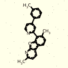 Cc1cccc(-c2ccnc(-c3c(C)ccc4c3oc3nc(C)ccc34)c2)c1